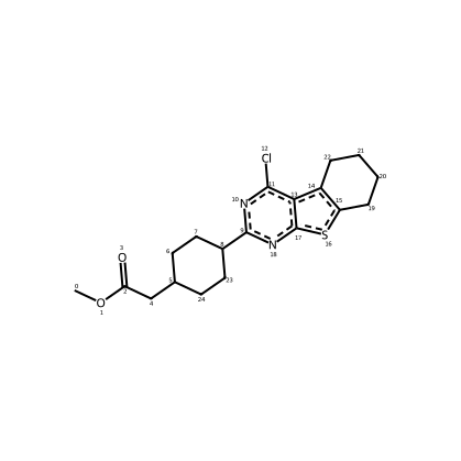 COC(=O)CC1CCC(c2nc(Cl)c3c4c(sc3n2)CCCC4)CC1